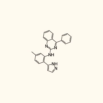 Cc1ccc(-c2ccn[nH]2)c(Nc2nc(-c3ccccc3)c3ccccc3n2)c1